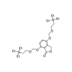 CC[Si](CC)(CC)CCOCOc1ccc(OCOCC[Si](CC)(CC)CC)c2c1COC2=O